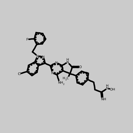 CC1(c2ccc(CCC(=N)NO)cc2)C(=O)Nc2nc(-c3nn(Cc4ccccc4F)c4cc(Cl)ccc34)nc(N)c21